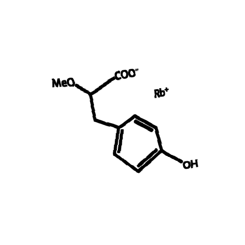 COC(Cc1ccc(O)cc1)C(=O)[O-].[Rb+]